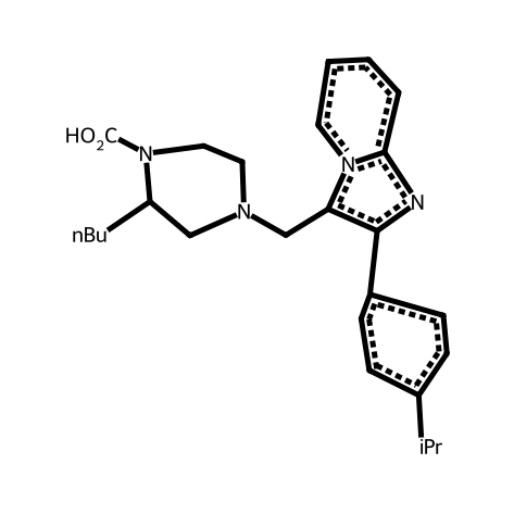 CCCCC1CN(Cc2c(-c3ccc(C(C)C)cc3)nc3ccccn23)CCN1C(=O)O